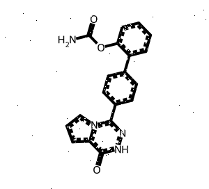 NC(=O)Oc1ccccc1-c1ccc(-c2n[nH]c(=O)c3cccn23)cc1